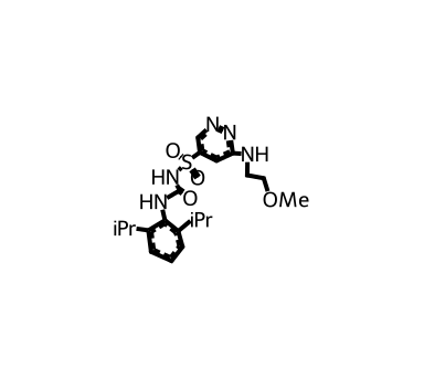 COCCNc1cc(S(=O)(=O)NC(=O)Nc2c(C(C)C)cccc2C(C)C)cnn1